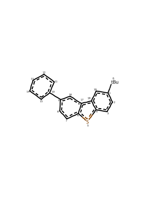 CC(C)(C)c1ccc2sc3ccc(-c4ccccc4)cc3c2c1